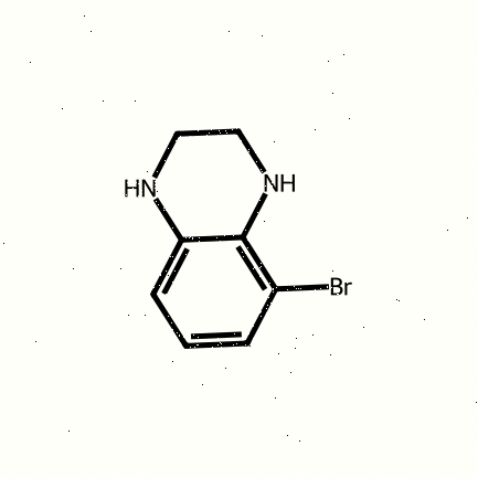 Brc1cccc2c1NCCN2